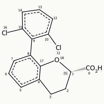 O=C(O)[C@@H]1CCc2cccc(-c3c(Cl)cccc3Cl)c2O1